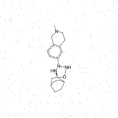 CN1CCc2cc(N3NO[C@]4(CC5CCC4CC5)N3)ccc2C1